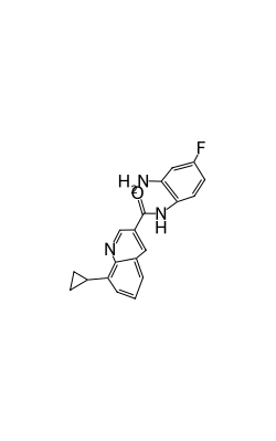 Nc1cc(F)ccc1NC(=O)c1cnc2c(C3CC3)cccc2c1